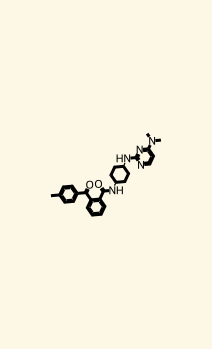 Cc1ccc(C(=O)c2ccccc2C(=O)N[C@H]2CC[C@@H](Nc3nccc(N(C)C)n3)CC2)cc1